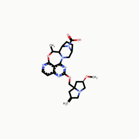 C=C1CN2C[C@H](OC)CC2(COc2nc3c4c(nccc4n2)OC(C)C2C4CCC(CN32)N4C(=O)O)C1